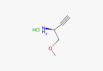 C#C[C@H](N)COC.Cl